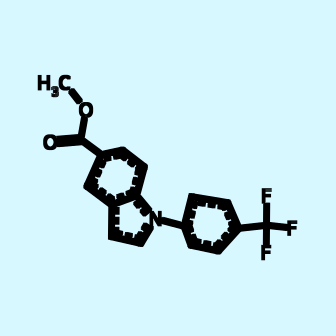 COC(=O)c1ccc2c(ccn2-c2ccc(C(F)(F)F)cc2)c1